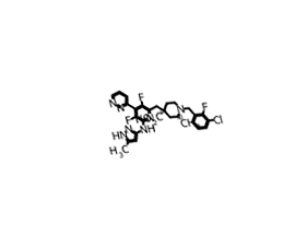 Cc1cc(Nc2nc(C[C@@]3(C(=O)O)CCN(Cc4cccc(Cl)c4F)[C@H](C)C3)c(F)c(-c3cccnn3)c2F)n[nH]1